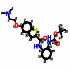 CN(C)CCOc1ccc2sc(C(=O)Nc3ccccc3NC(=O)OC(C)(C)C)cc2c1